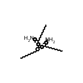 CCCCCCCCCCCCC1CCC(c2ccc(C(CCCCCCCCCCCC)c3ccc(N)cc3C)cc2)(c2ccc(C(CCCCCCCCCCCC)c3ccc(N)cc3C)cc2)CC1